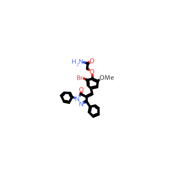 COc1cc(/C=C2\C(=O)N(c3ccccc3)N=C2c2ccccc2)cc(Br)c1OCC(N)=O